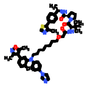 Cc1ccc(-c2c(C)noc2C)cc1N(CCCCCCCCOCC(=O)N[C@H](C(=O)N1CCC[C@H]1C(=O)N[C@@H](C)c1ccc(-c2scnc2C)cc1)C(C)(C)C)c1ccc(-n2ccnc2)cc1